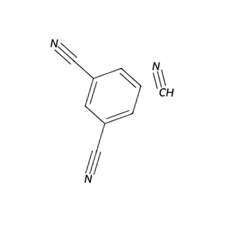 C#N.N#Cc1cccc(C#N)c1